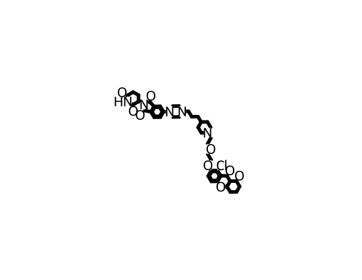 O=C1CCC(N2C(=O)c3ccc(N4CCN(CCCC5CCN(CCOCCOc6cccc(C(=O)C7C(=O)CCCC7=O)c6Cl)CC5)CC4)cc3C2=O)C(=O)N1